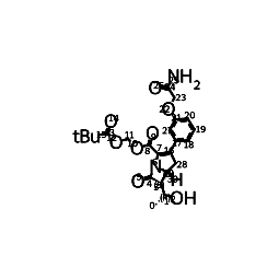 C[C@@H](O)[C@H]1C(=O)N2C(C(=O)OCOC(=O)C(C)(C)C)=C(c3cccc(OCC(N)=O)c3)C[C@H]12